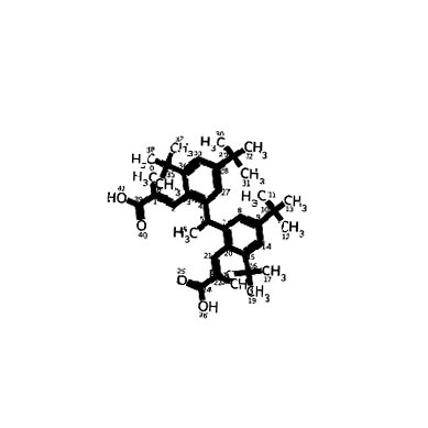 CC(=Cc1c(C(C)c2cc(C(C)(C)C)cc(C(C)(C)C)c2C=C(C)C(=O)O)cc(C(C)(C)C)cc1C(C)(C)C)C(=O)O